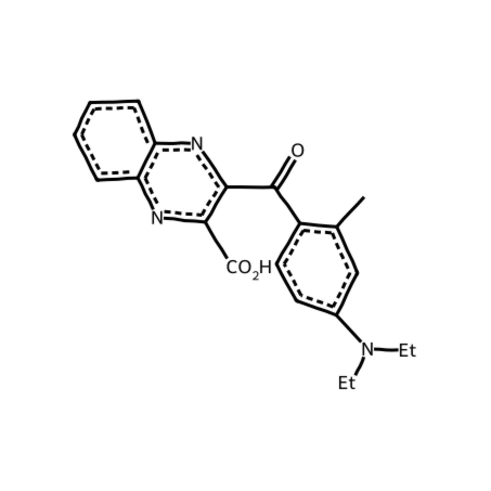 CCN(CC)c1ccc(C(=O)c2nc3ccccc3nc2C(=O)O)c(C)c1